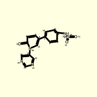 O=c1ccc(-c2ccc(N[SH](=O)=O)cc2)cn1-c1cncnc1